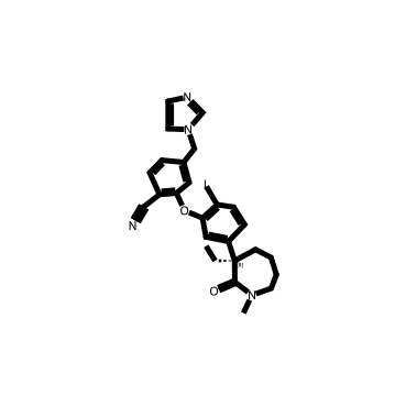 CC[C@]1(c2ccc(I)c(Oc3cc(Cn4ccnc4)ccc3C#N)c2)CCCCN(C)C1=O